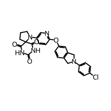 O=C1NC(=O)C2(CCCN2c2ccc(Oc3ccc4c(c3)CN(c3ccc(Cl)cc3)C4)nc2)C(=O)N1